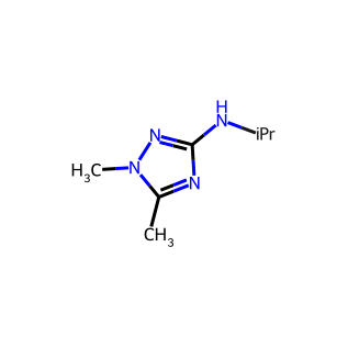 Cc1nc(NC(C)C)nn1C